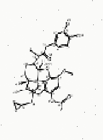 COc1cc(OC(C)=O)c2c3c1O[C@H]1[C@H](N(C)C(=O)Cc4ccc(Cl)c(Cl)c4)CC[C@H]4[C@@H](C2)N(CC2CC2)CC[C@@]341